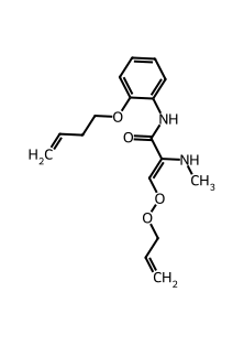 C=CCCOc1ccccc1NC(=O)/C(=C/OOCC=C)NC